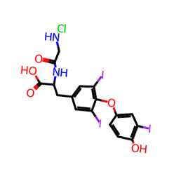 O=C(CNCl)NC(Cc1cc(I)c(Oc2ccc(O)c(I)c2)c(I)c1)C(=O)O